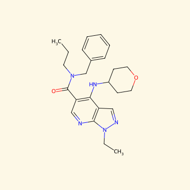 CCCN(Cc1ccccc1)C(=O)c1cnc2c(cnn2CC)c1NC1CCOCC1